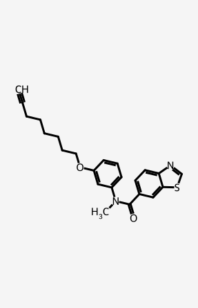 C#CCCCCCCOc1cccc(N(C)C(=O)c2ccc3ncsc3c2)c1